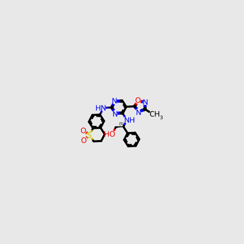 Cc1noc(-c2cnc(Nc3ccc4c(c3)CCCS4(=O)=O)nc2N[C@H](CO)c2ccccc2)n1